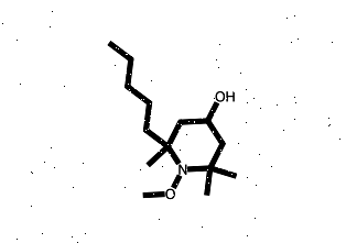 CCCCCC1(C)CC(O)CC(C)(C)N1OC